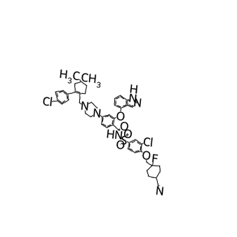 CC1(C)CCC(CN2CCN(c3ccc(C(=O)NS(=O)(=O)c4ccc(OCC5(F)CCC(C#N)CC5)c(Cl)c4)c(Oc4cccc5[nH]ncc45)c3)CC2)=C(c2ccc(Cl)cc2)C1